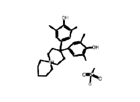 CS(=O)(=O)[O-].Cc1cc(C2(c3cc(C)c(O)c(C)c3)CC[N+]3(CCCCC3)CC2)cc(C)c1O